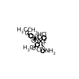 COc1cc2c(cc1Cl)C(CCCN1CCCC1N)(c1ccccc1F)C(=O)N2S(=O)(=O)c1ccc(OC(C)C)cc1.Cl